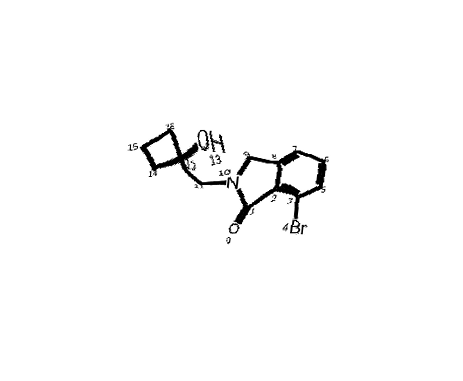 O=C1c2c(Br)cccc2CN1CC1(O)CCC1